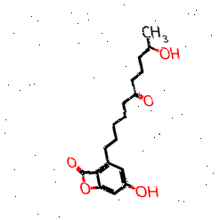 CC(O)CCCC(=O)CCCCCc1cc(O)cc2c1C(=O)O2